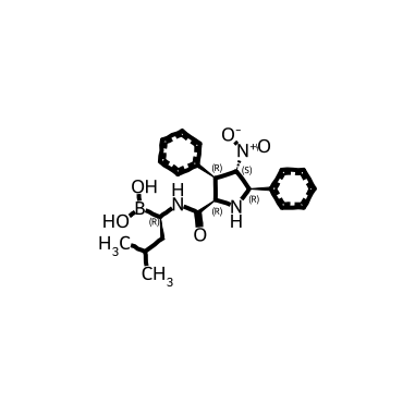 CC(C)C[C@H](NC(=O)[C@@H]1N[C@H](c2ccccc2)[C@@H]([N+](=O)[O-])[C@@H]1c1ccccc1)B(O)O